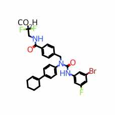 O=C(NCC(F)(F)C(=O)O)c1ccc(CN(C(=O)Nc2cc(F)cc(Br)c2)c2ccc(C3=CCCCC3)cc2)cc1